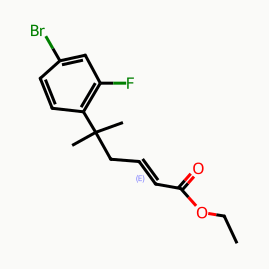 CCOC(=O)/C=C/CC(C)(C)c1ccc(Br)cc1F